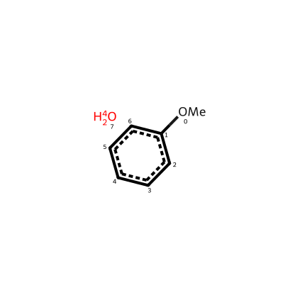 COc1ccccc1.[4OH2]